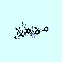 CCCc1nc(C)c2c(=O)[nH]c(-c3cc(S(=O)(=O)Nc4ccc(OCC5CCCCC5)c(OC)c4)ccc3OCC)nn12